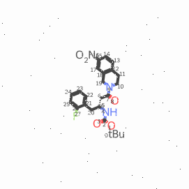 CC(C)(C)OC(=O)N[C@@H](CC(=O)N1CCc2ccc([N+](=O)[O-])cc2C1)Cc1ccccc1F